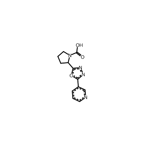 O=C(O)N1CCCC1c1nnc(-c2cccnc2)o1